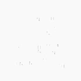 CCc1cc(NC(=O)C(=O)N2C[C@@H](C)CC[C@@H]2c2ccc3sc([C@@H](C)CN4CCCC4)nc3c2)cnc1N